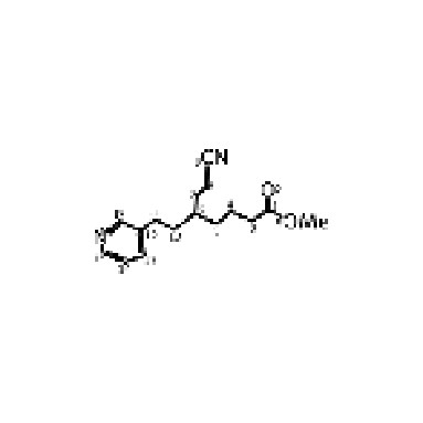 COC(=O)CCCC(CCC#N)CCc1cccnc1